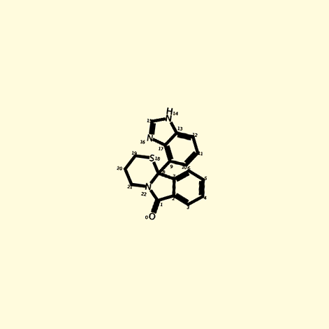 O=C1c2ccccc2C2(c3cccc4[nH]cnc34)SCCCN12